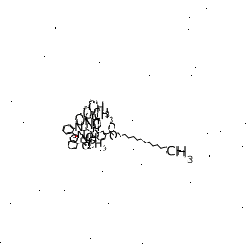 CCCCCCCCCCCCCCOC(=O)c1ccc(OC)c(NC(=O)C(c2nc3ccccc3c(=O)n2NC(=O)c2ccccc2)N2C(=O)OC(C)(C)C2=O)c1